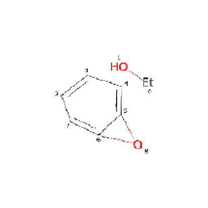 CCO.c1ccc2c(c1)O2